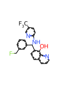 Oc1c(C(Nc2ccc(C(F)(F)F)cn2)c2cccc(CF)c2)ccc2cccnc12